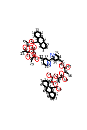 CC(OC(=O)c1c2ccccc2cc2ccccc12)C(=O)OC(C)C(=O)OC(C)C(=O)OCc1ccnc(-c2cc(COC(=O)C(C)OC(=O)C(C)OC(=O)C(C)OC(=O)c3c4ccccc4cc4ccccc34)ccn2)c1